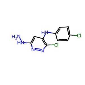 NNc1cc(Nc2ccc(Cl)cc2)c(Cl)nn1